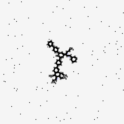 C=C/C=C1\C(=C)C2=C(C=C(C3=CC=C(C4=NC(C(/C=C/c5cccnc5)=C/C=C)=CC(c5ccc(-c6ccccc6)cc5)N4)CC3)CC2)C(C=C)C1C=C